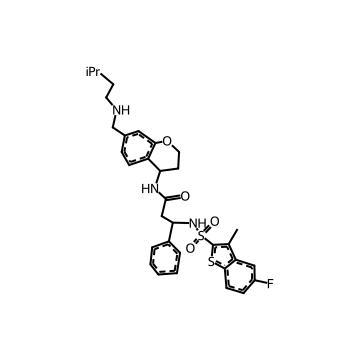 Cc1c(S(=O)(=O)NC(CC(=O)NC2CCOc3cc(CNCCC(C)C)ccc32)c2ccccc2)sc2ccc(F)cc12